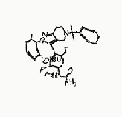 Cc1cccc(OCC(C)C)c1-n1nc2c(c1-c1cc(F)c(NC(N)=O)cc1F)CN(C(C)(C)c1ccccc1)CC2